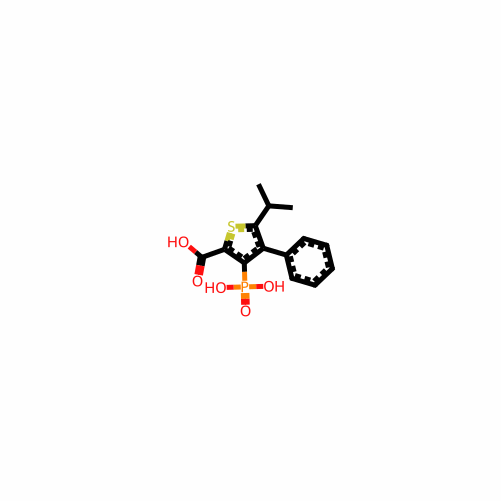 CC(C)c1sc(C(=O)O)c(P(=O)(O)O)c1-c1ccccc1